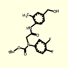 Cc1cc(CO)ccc1NC(=O)CN(C(=O)OC(C)(C)C)c1ccc(F)c(F)c1